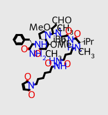 CC[C@H](C)[C@]([C@@H](CC=O)OC)(N(C)[C@H](C(=O)NC(=O)[C@H](C(C)C)N(C)CCCC(=O)NNC(=O)CCCCCN1C(=O)C=CC1=O)C(C)C)N1CCC[C@H]1[C@H](OC)[C@@H](C)C(=O)N[C@@H](Cc1ccccc1)C(N)=O